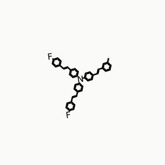 Cc1cccc(/C=C/c2ccc(N(c3ccc(/C=C/c4ccc(F)cc4)cc3)c3ccc(/C=C/c4ccc(F)cc4)cc3)cc2)c1